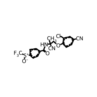 CC(C#N)(COc1ccc(C#N)cc1Cl)NC(=O)c1ccc([S+]([O-])C(F)(F)F)cc1